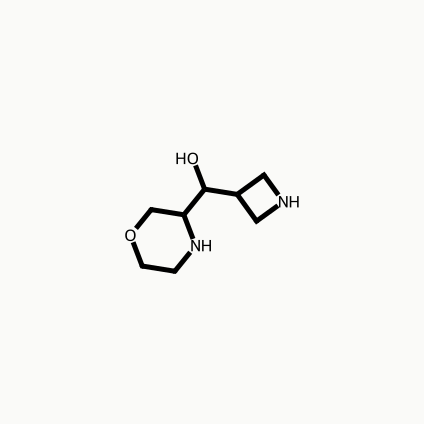 OC(C1CNC1)C1COCCN1